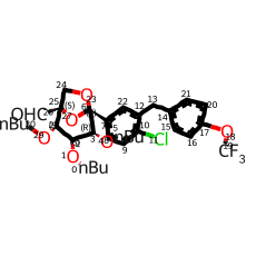 CCCCO[C@@H]1[C@@H](OCCCC)[C@@]2(c3ccc(Cl)c(Cc4ccc(OC(F)(F)F)cc4)c3)OC[C@](C=O)(O2)[C@H]1OCCCC